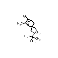 CCC1(COC(C)(C)C)CC2CC1C(C)C2C